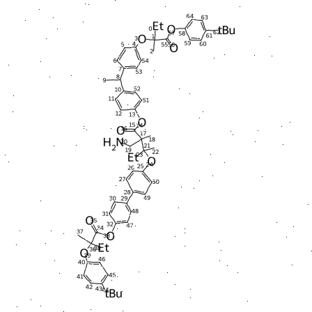 CCC(C)(Oc1ccc(C(C)c2ccc(OC(=O)C(C)(CN)C(C)(CC)Oc3ccc(-c4ccc(OC(=O)C(C)(CC)Oc5ccc(C(C)(C)C)cc5)cc4)cc3)cc2)cc1)C(=O)Oc1ccc(C(C)(C)C)cc1